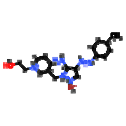 Cc1ccc(/N=N/c2cnn(Cc3ccc[n+](CCO)c3)c2N)cc1.[Br-]